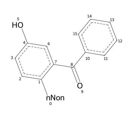 CCCCCCCCCc1ccc(O)cc1C(=O)c1ccccc1